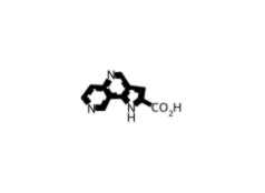 O=C(O)c1cc2cnc3ccncc3c2[nH]1